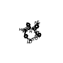 O=C1CCC(=O)NC(c2ccccc2)C(=O)N[C@@H](Cc2ccc(C(F)(F)F)cc2)C(=O)N[C@H](Cc2ccccc2)C(=O)N[C@H](C(=O)O)Cc2ccc(cc2)N1